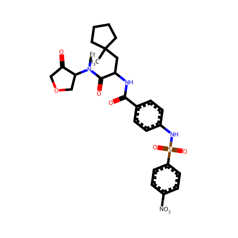 CCN(C(=O)C(CC1(C)CCCC1)NC(=O)c1ccc(NS(=O)(=O)c2ccc([N+](=O)[O-])cc2)cc1)C1COCC1=O